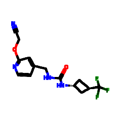 N#CCOc1cc(CNC(=O)N[C@H]2C[C@H](C(F)(F)F)C2)ccn1